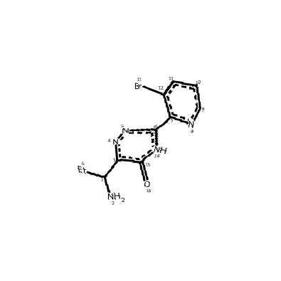 CCC(N)c1nnc(-c2ncccc2Br)[nH]c1=O